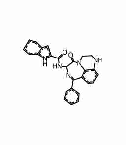 O=C(NC1N=C(c2ccccc2)c2cccc3c2N(CCN3)C1=O)c1cc2ccccc2[nH]1